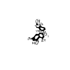 CC[C@@H]1C[C@](O)(C(F)(F)F)[C@@H](Nc2cccc3nc(C)ncc23)c2cc(C(C)C)cc(O)c21